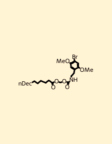 CCCCCCCCCCCCCCCC(=O)OCOC(=O)NCCc1cc(OC)c(Br)cc1OC